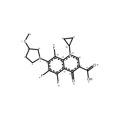 CSC1CCN(c2c(F)c(F)c3c(=O)c(C(=O)O)cn(C4CC4)c3c2F)C1